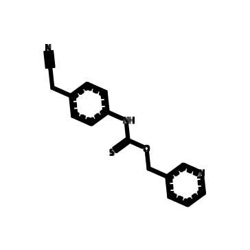 N#CCc1ccc(NC(=S)OCc2cccnc2)cc1